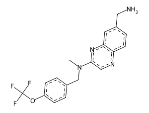 CN(Cc1ccc(OC(F)(F)F)cc1)c1cnc2ccc(CN)cc2n1